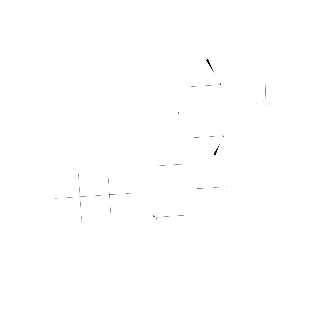 C[C@@]12CCC[C@H]1[C@@H]1CCC3=CC(=O)C(C(F)(F)C(F)(F)F)CC3=C1CC2